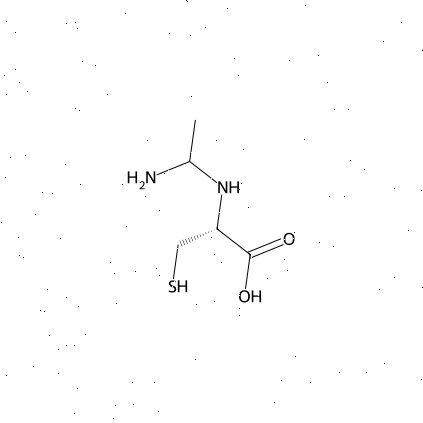 CC(N)N[C@@H](CS)C(=O)O